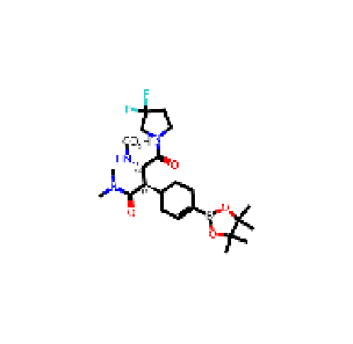 CN(C)C(=O)[C@H](C1CC=C(B2OC(C)(C)C(C)(C)O2)CC1)[C@H](NC(=O)O)C(=O)N1CCC(F)(F)C1